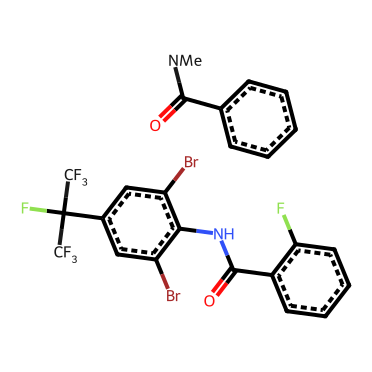 CNC(=O)c1ccccc1.O=C(Nc1c(Br)cc(C(F)(C(F)(F)F)C(F)(F)F)cc1Br)c1ccccc1F